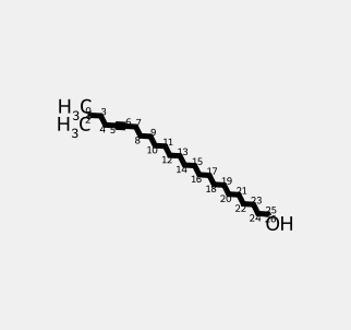 CC(C)CCC#CCCCCCCCCCCCCCCCCCCCO